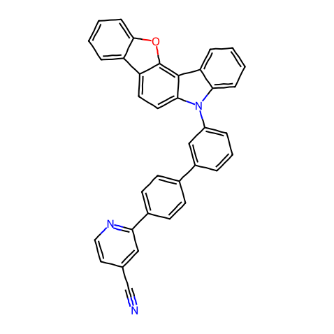 N#Cc1ccnc(-c2ccc(-c3cccc(-n4c5ccccc5c5c6oc7ccccc7c6ccc54)c3)cc2)c1